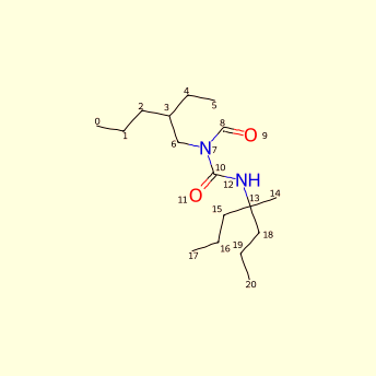 CCCC(CC)CN([C]=O)C(=O)NC(C)(CCC)CCC